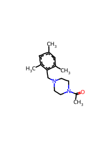 CC(=O)N1CCN(Cc2c(C)cc(C)cc2C)CC1